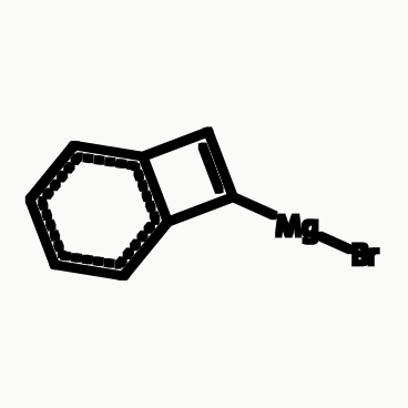 [Br][Mg][C]1=Cc2ccccc21